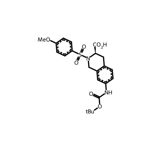 COc1ccc(S(=O)(=O)N2Cc3cc(NC(=O)OC(C)(C)C)ccc3C[C@@H]2C(=O)O)cc1